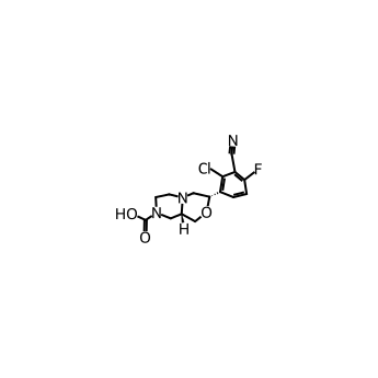 N#Cc1c(F)ccc([C@H]2CN3CCN(C(=O)O)C[C@H]3CO2)c1Cl